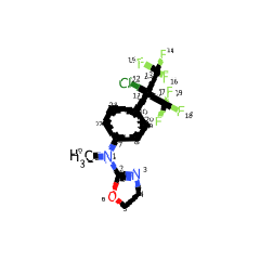 CN(C1=NCCO1)c1ccc(C(Cl)(C(F)(F)F)C(F)(F)F)cc1